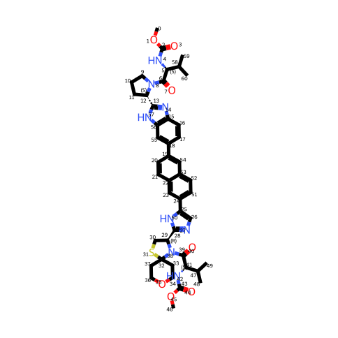 COC(=O)N[C@H](C(=O)N1CCC[C@H]1c1nc2ccc(-c3ccc4cc(-c5cnc([C@@H]6CSC7(CCOCC7)N6C(=O)[C@@H](NC(=O)OC)C(C)C)[nH]5)ccc4c3)cc2[nH]1)C(C)C